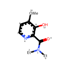 CCN(CC)C(=O)c1nccc(OC)c1O